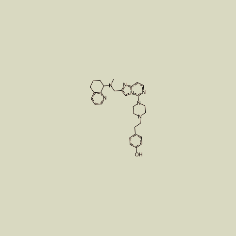 CN(Cc1cn2c(N3CCN(CCc4ccc(O)cc4)CC3)nccc2n1)C1CCCc2cccnc21